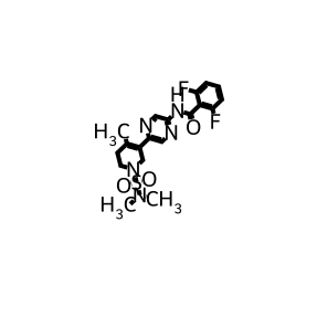 CC1=C(c2cnc(NC(=O)c3c(F)cccc3F)cn2)CN(S(=O)(=O)N(C)C)CC1